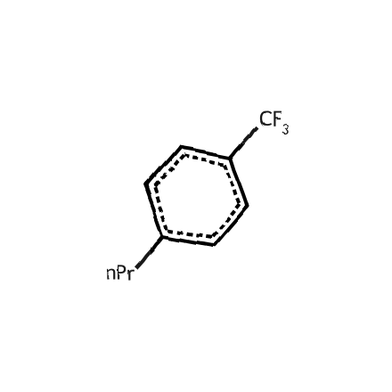 CCCc1ccc(C(F)(F)F)cc1